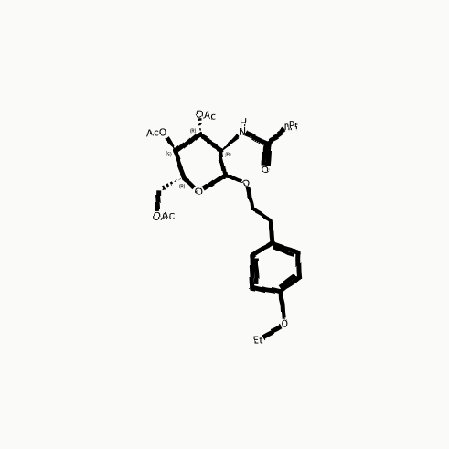 CCCC(=O)N[C@H]1C(OCCc2ccc(OCC)cc2)O[C@H](COC(C)=O)[C@@H](OC(C)=O)[C@@H]1OC(C)=O